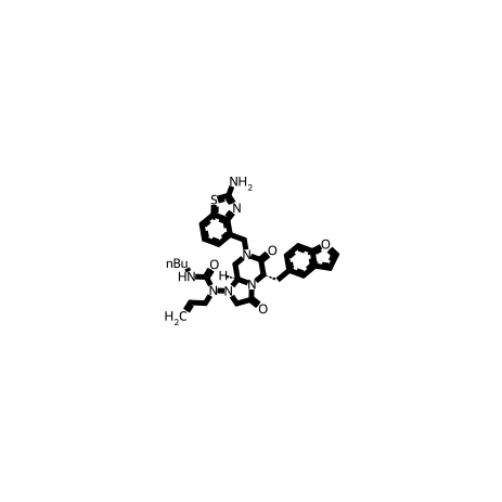 C=CCN(C(=O)NCCCC)N1CC(=O)N2[C@@H](Cc3ccc4occc4c3)C(=O)N(Cc3cccc4sc(N)nc34)C[C@@H]21